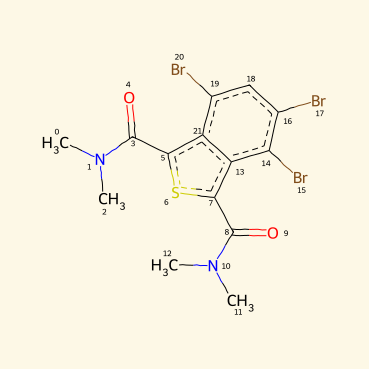 CN(C)C(=O)c1sc(C(=O)N(C)C)c2c(Br)c(Br)cc(Br)c12